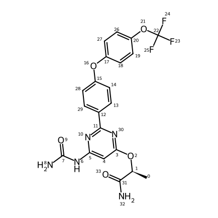 C[C@H](Oc1cc(NC(N)=O)nc(-c2ccc(Oc3ccc(OC(F)(F)F)cc3)cc2)n1)C(N)=O